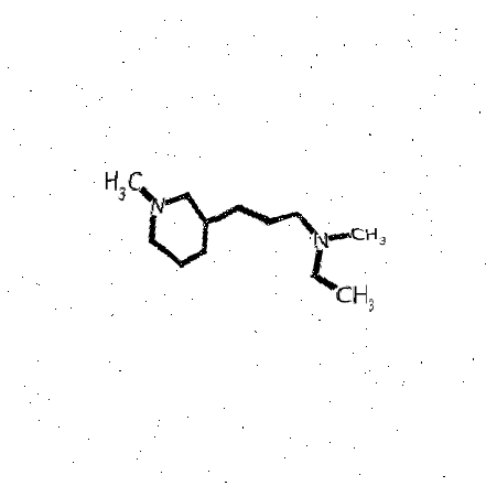 CCN(C)CCCC1CCCN(C)C1